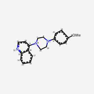 COc1ccc(N2CCN(c3ccnc4ccccc34)CC2)cc1